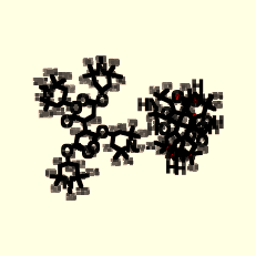 CC1(C)CC(C(CC(=O)O)(C(=O)O)C(C(=O)O)(C2CC(C)(C)NC(C)(C)C2)C(C(=O)O)(C2CC(C)(C)NC(C)(C)C2)C2CC(C)(C)NC(C)(C)C2)CC(C)(C)N1.CN1C(C)(C)CC(OC(=O)CC(C(=O)OC2CC(C)(C)N(C)C(C)(C)C2)C(CC(=O)OC2CC(C)(C)N(C)C(C)(C)C2)C(=O)OC2CC(C)(C)N(C)C(C)(C)C2)CC1(C)C